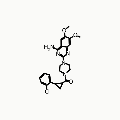 COc1cc2nc(N3CCN(C(=O)C4CC4c4ccccc4Cl)CC3)nc(N)c2cc1OC